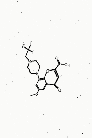 COc1cc(N2CCN(CC(F)(F)F)CC2)c2oc(C(=O)O)cc(=O)c2c1